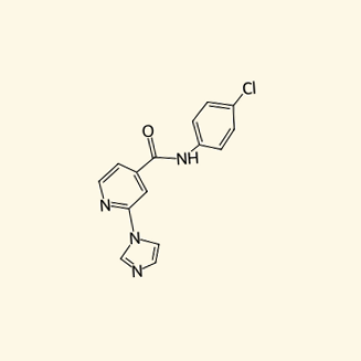 O=C(Nc1ccc(Cl)cc1)c1ccnc(-n2ccnc2)c1